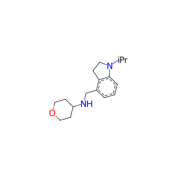 CC(C)N1CCc2c(CNC3CCOCC3)cccc21